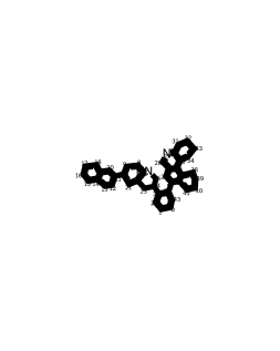 c1ccc(C2CNc3ccc(-c4ccc5ccccc5c4)cc3C2)c(-c2cc3cnc4ccccc4c3c3ccccc23)c1